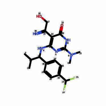 CC(C)C(Nc1nc(N(C)C)[nH]c(=O)c1C(=N)CO)c1ccc(C(F)F)cc1